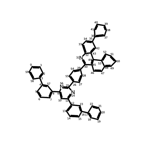 c1ccc(-c2cccc(-c3cc(-c4cccc(-c5ccccc5)c4)nc(-c4ccc(-c5nc6ccc(-c7ccccc7)cc6c6c5ccc5ccccc56)cc4)n3)c2)cc1